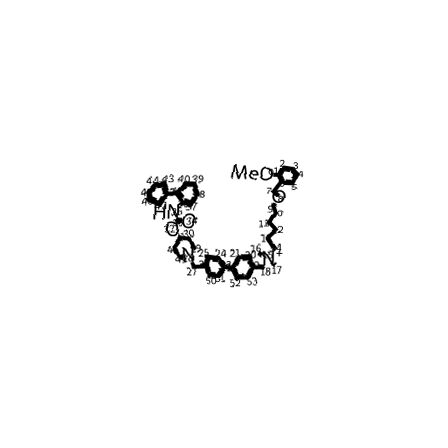 COc1ccccc1COCCCCCC[N+](C)(C)Cc1ccc(-c2ccc(CN3CCC(OC(=O)Nc4ccccc4-c4ccccc4)CC3)cc2)cc1